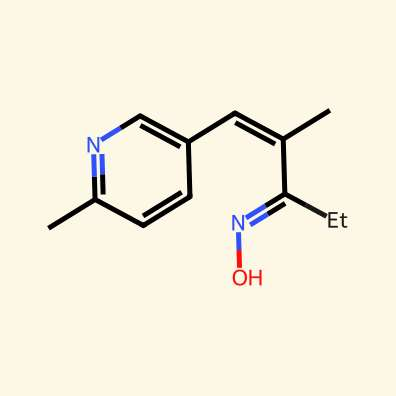 CCC(=NO)C(C)=Cc1ccc(C)nc1